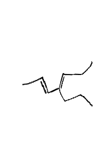 CC=CC(=CCC)CCC